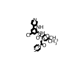 CC1(C)CN(CC(=O)N2CCSCC2)[C@H](C(=O)Nc2cc(Cl)cc3c2[nH]c2cnccc23)CO1